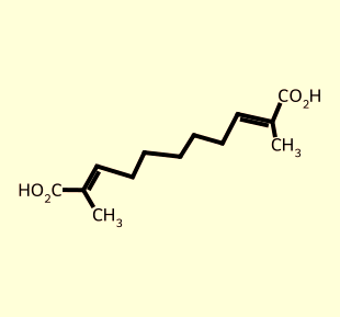 C/C(=C\CCCCC/C=C(\C)C(=O)O)C(=O)O